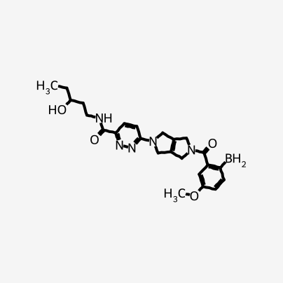 Bc1ccc(OC)cc1C(=O)N1CC2=C(C1)CN(c1ccc(C(=O)NCCC(O)CC)nn1)C2